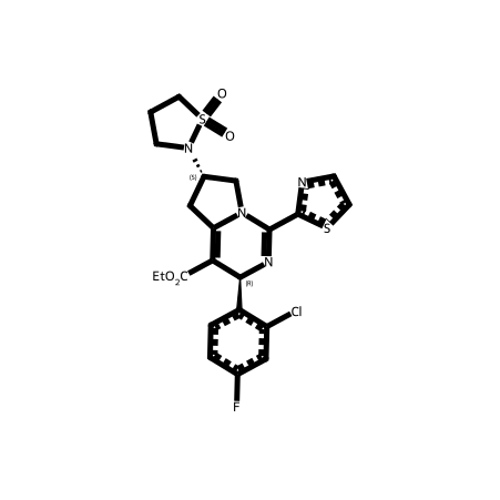 CCOC(=O)C1=C2C[C@H](N3CCCS3(=O)=O)CN2C(c2nccs2)=N[C@H]1c1ccc(F)cc1Cl